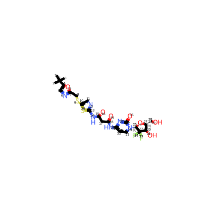 CC(C)(C)c1cnc(CSc2cnc(NC(=O)CC(=O)Nc3ccn([C@@H]4O[C@H](CO)C(O)C4(F)F)c(=O)n3)s2)o1